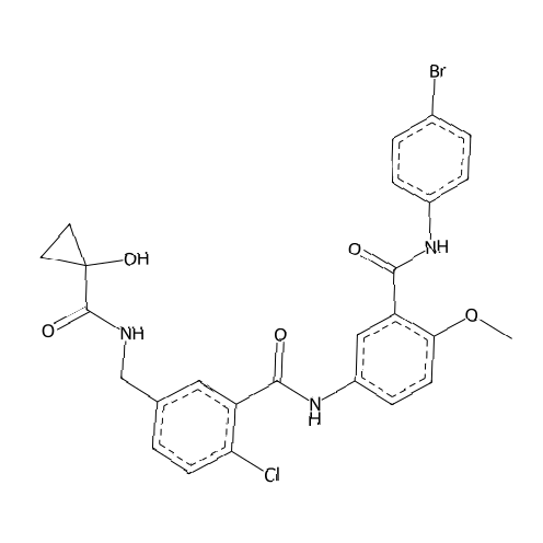 COc1ccc(NC(=O)c2cc(CNC(=O)C3(O)CC3)ccc2Cl)cc1C(=O)Nc1ccc(Br)cc1